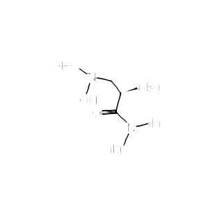 CCCC[C@H](CN(O)C=O)C(=O)N(C(C)C)C(C)C